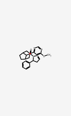 COc1cc(N2CC3CCC(C2)C3C(=O)N2N=CCC2c2ccccc2)ncn1